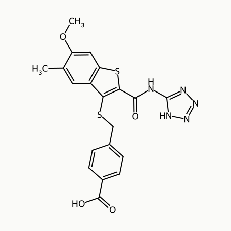 COc1cc2sc(C(=O)Nc3nnn[nH]3)c(SCc3ccc(C(=O)O)cc3)c2cc1C